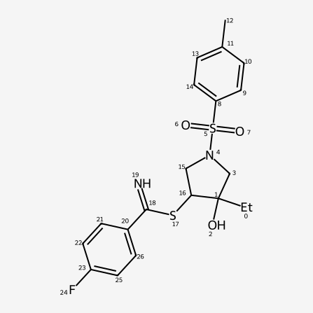 CCC1(O)CN(S(=O)(=O)c2ccc(C)cc2)CC1SC(=N)c1ccc(F)cc1